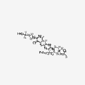 COC(=O)c1nc(Sc2ccnc(N3CC(C(C)(C)O)C3)c2Cl)c(C)nc1N1CCC2(CC1)CO[C@@H](C)C2